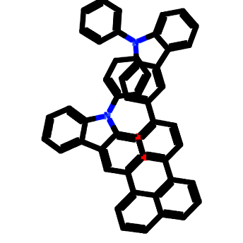 C1=CC(n2c3ccccc3c3cc(-c4cccc5cccc(-c6ccc(-c7ccc8c(c7)c7ccccc7n8-c7ccccc7)cc6)c45)ccc32)=CCC1